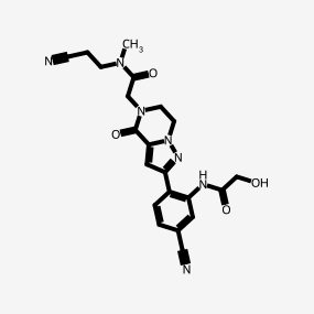 CN(CCC#N)C(=O)CN1CCn2nc(-c3ccc(C#N)cc3NC(=O)CO)cc2C1=O